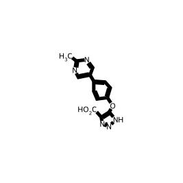 Cc1ncc(-c2ccc(Oc3[nH]nnc3C(=O)O)cc2)cn1